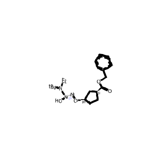 CCN(/[N+](O)=N/O[C@@H]1CC[C@H](C(=O)OCc2ccccc2)C1)C(C)(C)C